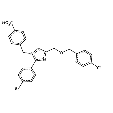 O=C(O)c1ccc(Cn2cc(COCc3ccc(Cl)cc3)nc2-c2ccc(Br)cc2)cc1